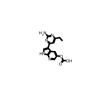 CCc1cc(-c2c[nH]c3ncc(OC(=O)O)cc23)nc(N)n1